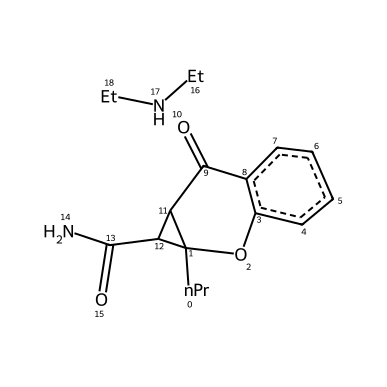 CCCC12Oc3ccccc3C(=O)C1C2C(N)=O.CCNCC